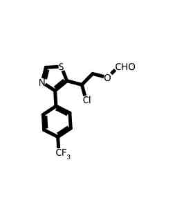 O=COCC(Cl)c1scnc1-c1ccc(C(F)(F)F)cc1